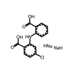 O=C(O)c1ccccc1Nc1cc(Cl)ccc1C(=O)O.[NaH].[NaH]